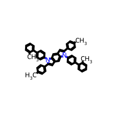 Cc1ccc(-c2cc3cc4c(cc(-c5ccc(C)cc5)n4-c4ccc(-c5ccccc5C)cc4)cc3n2-c2ccc(-c3ccccc3C)cc2)cc1